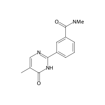 CNC(=O)c1cccc(-c2ncc(C)c(=O)[nH]2)c1